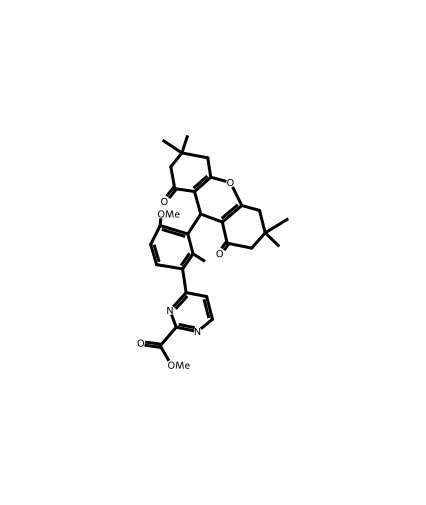 COC(=O)c1nccc(-c2ccc(OC)c(C3C4=C(CC(C)(C)CC4=O)OC4=C3C(=O)CC(C)(C)C4)c2C)n1